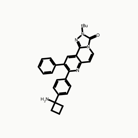 CC(C)(C)n1nc2c3cc(-c4ccccc4)c(-c4ccc(C5(N)CCC5)cc4)nc3ccn2c1=O